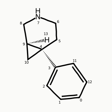 c1ccc([C@@]23CCNC[C@@H]2C3)cc1